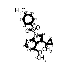 COc1ncnc2c1c(C1(C)CC1)cn2S(=O)(=O)c1ccc(C)cc1